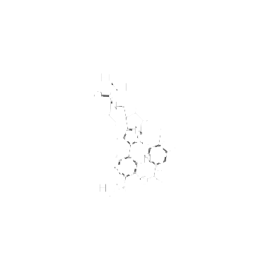 CCNC(=O)N1CC[C@@]2(CCn3nc(-c4cnc([AsH2])c(OC(C)c5ccc(C)cn5)c4)cc32)C1